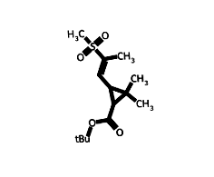 C/C(=C\C1C(C(=O)OC(C)(C)C)C1(C)C)S(C)(=O)=O